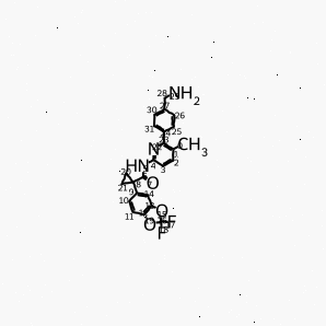 Cc1ccc(NC(=O)C2(c3ccc4c(c3)OC(F)(F)O4)CC2)nc1-c1ccc(CN)cc1